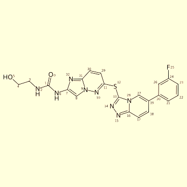 O=C(NCCO)Nc1cn2nc(Sc3nnc4ccc(-c5cccc(F)c5)cn34)ccc2n1